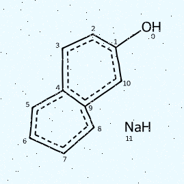 Oc1ccc2ccccc2c1.[NaH]